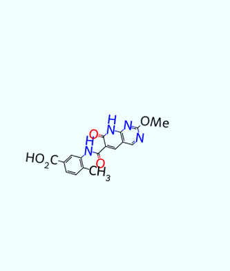 COc1ncc2cc(C(=O)Nc3cc(C(=O)O)ccc3C)c(=O)[nH]c2n1